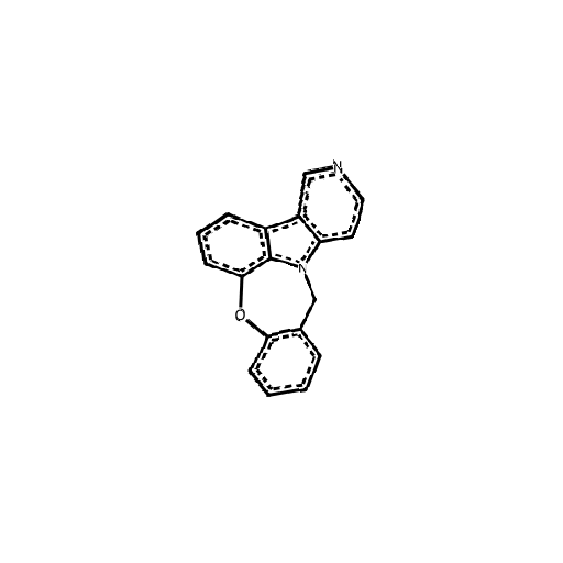 c1ccc2c(c1)Cn1c3ccncc3c3cccc(c31)O2